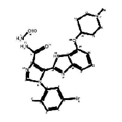 Cc1ccc(Br)cc1-n1cnc(C(N)=O)c1-c1nc2cccc(OC3CCN(C)CC3)c2[nH]1.NC=O